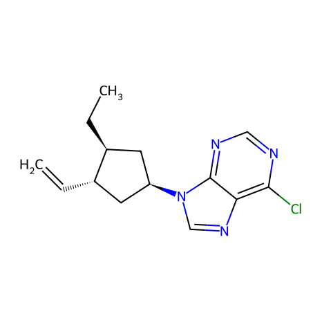 C=C[C@H]1C[C@H](n2cnc3c(Cl)ncnc32)C[C@@H]1CC